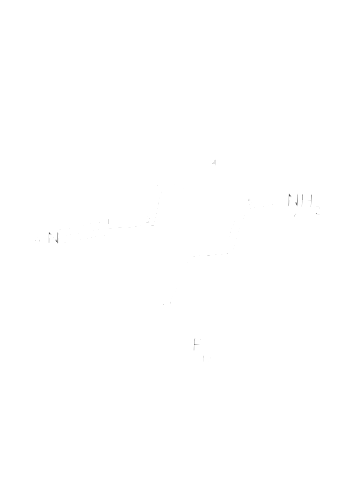 N#Cc1ccc(N)cc1CF